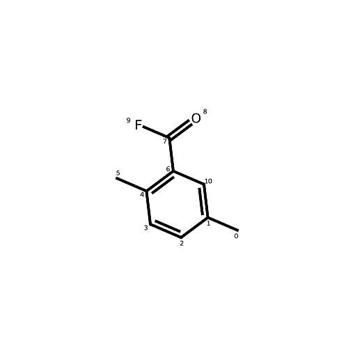 Cc1ccc(C)c(C(=O)F)c1